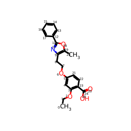 CCOc1cc(OCCc2nc(-c3ccccc3)oc2C)ccc1C(=O)O